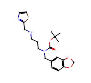 CC(C)(C)OC(=O)N(CCCNCc1nccs1)Cc1ccc2c(c1)OCO2